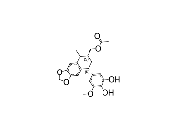 COc1cc([C@H]2C[C@H](COC(C)=O)C(C)c3cc4c(cc32)OCO4)cc(O)c1O